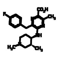 Cc1nc(N[C@@H]2CCN(C)C[C@H]2C)c(Cc2ccc(F)cc2)nc1C(=O)O